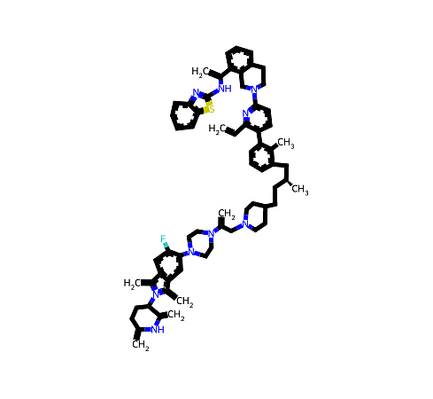 C=Cc1nc(N2CCc3cccc(C(=C)Nc4nc5ccccc5s4)c3C2)ccc1-c1cccc(C[C@@H](C)CCC2CCN(CC(=C)N3CCN(c4cc5c(=C)n(C6CCC(=C)NC6=C)c(=C)c5cc4F)CC3)CC2)c1C